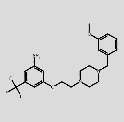 COc1cccc(CN2CCN(CCOc3cc(N)cc(C(F)(F)F)c3)CC2)c1